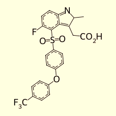 CC1N=c2ccc(F)c(S(=O)(=O)c3ccc(Oc4ccc(C(F)(F)F)cc4)cc3)c2=C1CC(=O)O